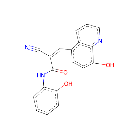 N#CC(=Cc1ccc(O)c2ncccc12)C(=O)Nc1ccccc1O